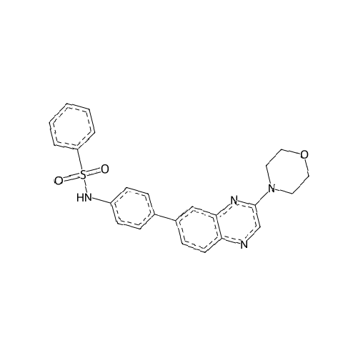 O=S(=O)(Nc1ccc(-c2ccc3ncc(N4CCOCC4)nc3c2)cc1)c1ccccc1